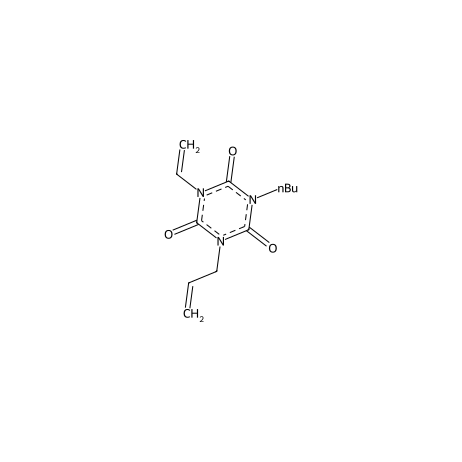 C=CCn1c(=O)n(C=C)c(=O)n(CCCC)c1=O